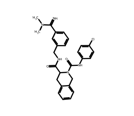 CN(C)C(=N)c1cccc(CNC(=O)C2Cc3ccccc3CN2C(=O)Nc2ccc(Cl)cc2)c1